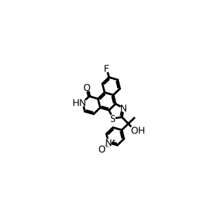 CC(O)(c1cc[n+]([O-])cc1)c1nc2c3ccc(F)cc3c3c(=O)[nH]ccc3c2s1